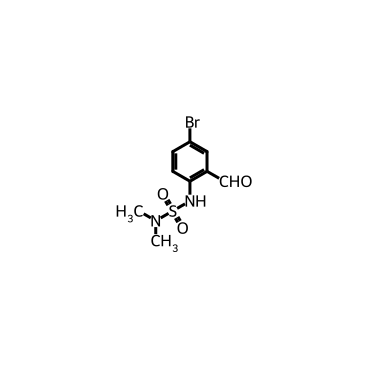 CN(C)S(=O)(=O)Nc1ccc(Br)cc1C=O